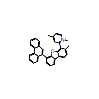 Cc1cc[n+](C)c(-c2c(C)ccc3c2oc2c(-c4cc5ccccc5c5ccccc45)cccc23)c1